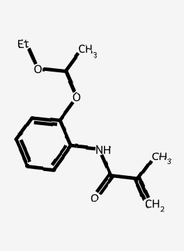 C=C(C)C(=O)Nc1ccccc1OC(C)OCC